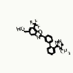 Cn1cnnc1-c1ccccc1-c1cccc(-c2nc3cc(CO)cc(C(F)(F)F)c3o2)c1